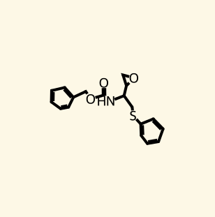 O=C(NC(CSc1ccccc1)C1CO1)OCc1ccccc1